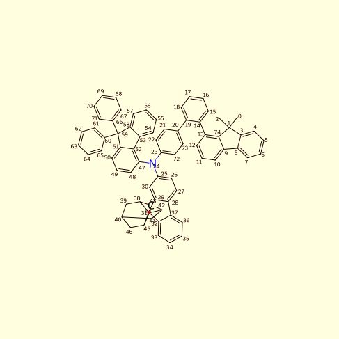 CC1(C)c2ccccc2-c2cccc(-c3ccccc3-c3ccc(N(c4ccc5c(c4)C4(c6ccccc6-5)C5CC6CC(C5)CC4C6)c4cccc5c4-c4ccccc4C5(c4ccccc4)c4ccccc4)cc3)c21